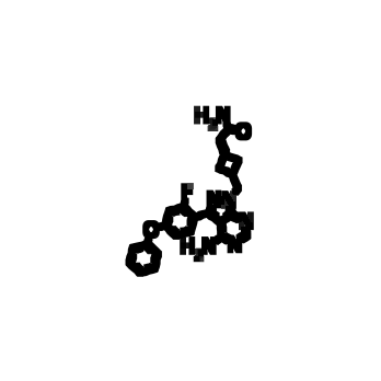 NC(=O)C=C1CC(Cn2nc(-c3ccc(Oc4ccccc4)cc3F)c3c(N)ncnc32)C1